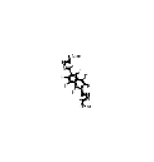 CCCCCCCCCc1nnc(-c2c(F)c(F)c3c(F)c(-c4nnc(CCCCCCCCC)s4)c(F)c(F)c3c2F)s1